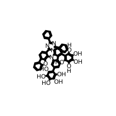 Oc1c(O)c(O)c(-c2ccc3c4c(-c5c(O)c(O)c(O)c(O)c5O)cccc4n(-c4c(-c5nc(-c6ccccc6)nc(-c6ccccc6)n5)ccc5c4oc4ccccc45)c3c2)c(O)c1O